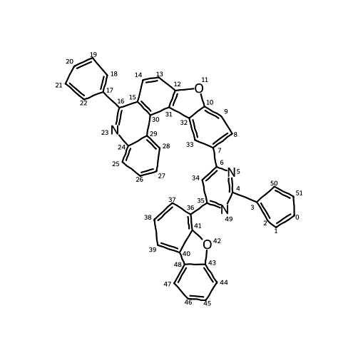 c1ccc(-c2nc(-c3ccc4oc5ccc6c(-c7ccccc7)nc7ccccc7c6c5c4c3)cc(-c3cccc4c3oc3ccccc34)n2)cc1